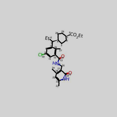 CCOC(=O)[C@H]1CC[C@@H](C(CC)c2cc(Cl)cc(C(=O)NCc3c(C)cc(C)[nH]c3=O)c2C)CC1